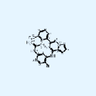 C=C(C)Nc1cc(Nc2nc(-c3cccc(C(F)(F)F)n3)nn3cccc23)c(I)cn1